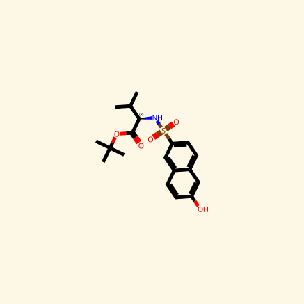 CC(C)[C@@H](NS(=O)(=O)c1ccc2cc(O)ccc2c1)C(=O)OC(C)(C)C